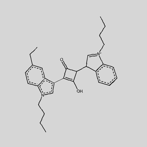 CCCCn1cc(C2=C(O)C(C3C=[N+](CCCC)c4ccccc43)C2=O)c2cc(CC)ccc21